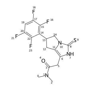 CN(C)C(=O)Cc1[nH]c(=S)n2c1CC(c1c(F)c(F)cc(F)c1F)C2